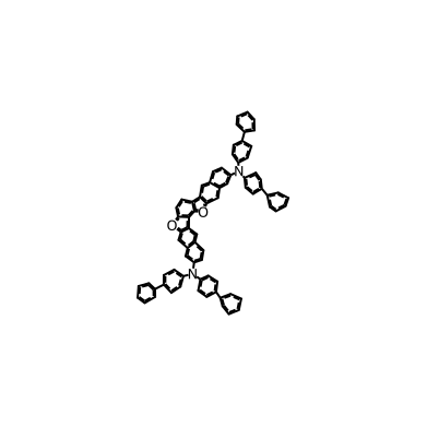 c1ccc(-c2ccc(N(c3ccc(-c4ccccc4)cc3)c3ccc4cc5c(cc4c3)oc3c5ccc4oc5cc6cc(N(c7ccc(-c8ccccc8)cc7)c7ccc(-c8ccccc8)cc7)ccc6cc5c43)cc2)cc1